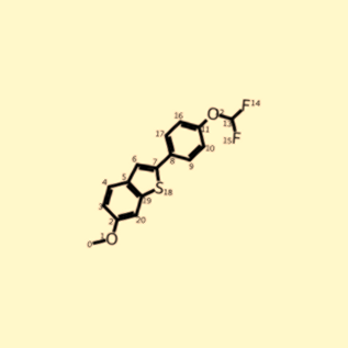 COc1ccc2cc(-c3ccc(OC(F)F)cc3)sc2c1